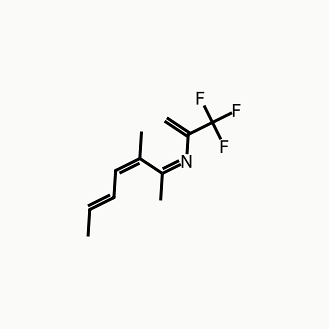 C=C(\N=C(C)/C(C)=C\C=C\C)C(F)(F)F